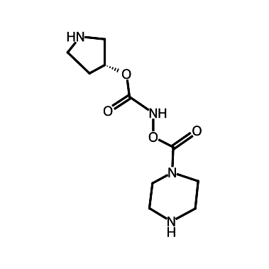 O=C(NOC(=O)N1CCNCC1)O[C@@H]1CCNC1